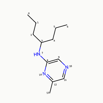 CCCC(CCC)Nc1cncc(C)n1